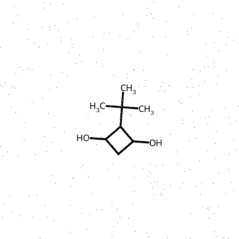 CC(C)(C)C1C(O)CC1O